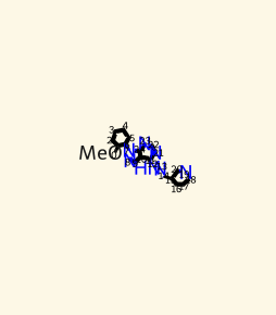 COc1ccccc1-n1ncc2c(N/N=C/c3cccnc3)ncnc21